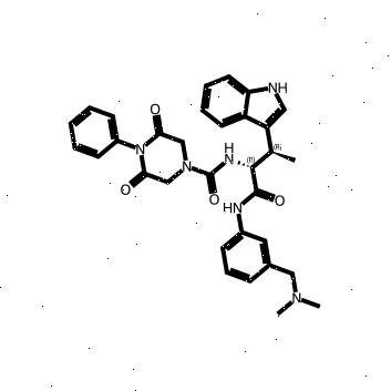 C[C@H](c1c[nH]c2ccccc12)[C@@H](NC(=O)N1CC(=O)N(c2ccccc2)C(=O)C1)C(=O)Nc1cccc(CN(C)C)c1